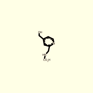 O=C(O)NCc1cc(CO)ccn1